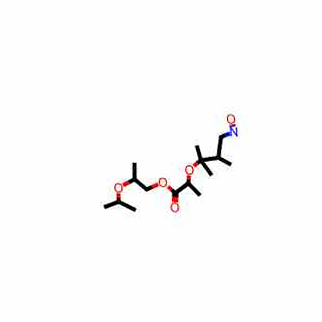 CC(C)OC(C)COC(=O)C(C)OC(C)(C)C(C)CN=O